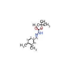 Cc1ccc(/C=N/NC(=O)OC(C)(C)C)cc1C